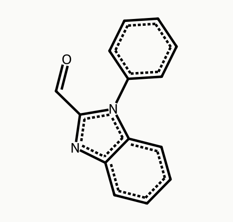 O=Cc1nc2ccccc2n1-c1ccccc1